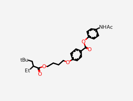 CCC(CC(C)(C)C)C(=O)OCCCCOc1ccc(C(=O)Oc2ccc(NC(C)=O)cc2)cc1